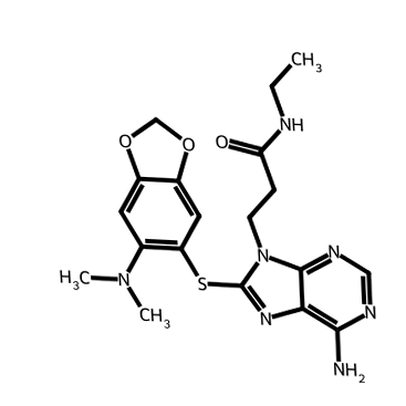 CCNC(=O)CCn1c(Sc2cc3c(cc2N(C)C)OCO3)nc2c(N)ncnc21